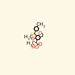 COc1c(C(C)C(=O)O)cc2c(c1C(=S)c1ccc(C)cc1)OCC2